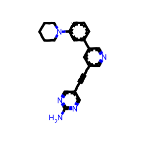 Nc1ncc(C#Cc2cncc(-c3cc[c]c(N4CCCCC4)c3)c2)cn1